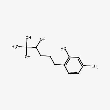 Cc1ccc(CCCC(O)C(C)(O)O)c(O)c1